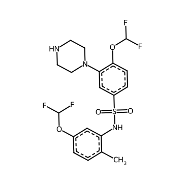 Cc1ccc(OC(F)F)cc1NS(=O)(=O)c1ccc(OC(F)F)c(N2CCNCC2)c1